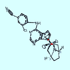 N#Cc1ccc(Nc2ncnc3c2ccn3C2C[C@@H]3CC[C@@H](C2)N3S(=O)(=O)C2CC2)c(Cl)c1